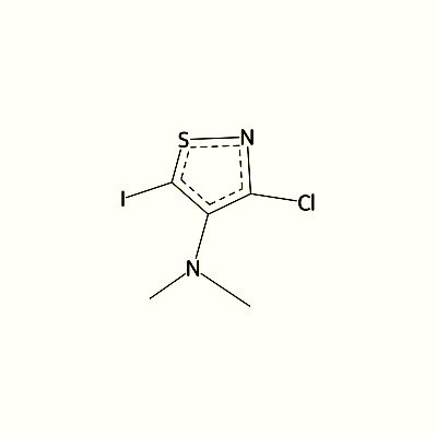 CN(C)c1c(Cl)nsc1I